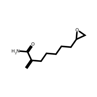 C=C(CCCCCC1CO1)C(N)=O